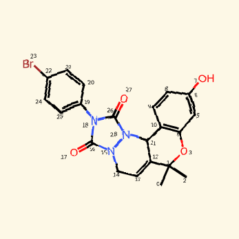 CC1(C)Oc2cc(O)ccc2C2C1=CCn1c(=O)n(-c3ccc(Br)cc3)c(=O)n12